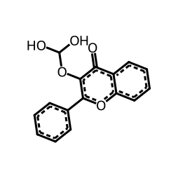 O=c1c(OC(O)O)c(-c2ccccc2)oc2ccccc12